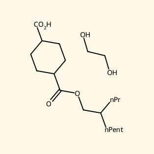 CCCCCC(CCC)COC(=O)C1CCC(C(=O)O)CC1.OCCO